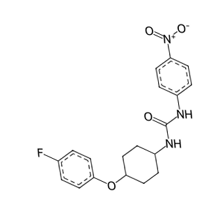 O=C(Nc1ccc([N+](=O)[O-])cc1)NC1CCC(Oc2ccc(F)cc2)CC1